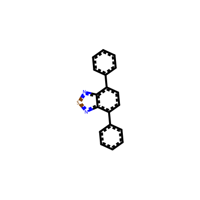 c1ccc(-c2ccc(-c3ccccc3)c3nsnc23)cc1